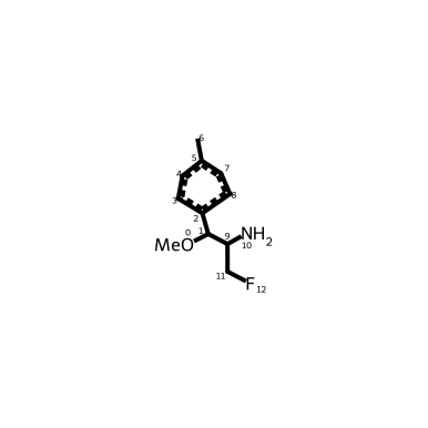 COC(c1ccc(C)cc1)C(N)CF